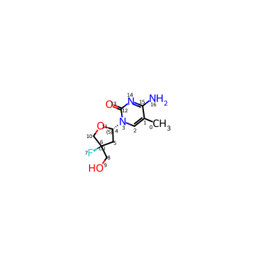 Cc1cn([C@@H]2C[C@](F)(CO)CO2)c(=O)nc1N